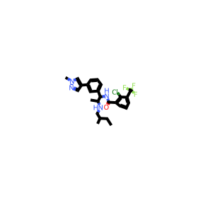 CCC(C)CNC(C)C(NC(=O)c1cccc(C(F)(F)F)c1Cl)c1cccc(-c2cnn(C)c2)c1